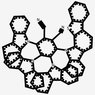 N#Cc1c(C#N)c(-n2c3ccccc3c3ccc4c5ccccc5sc4c32)c(-n2c3ccccc3c3ccccc32)c(-n2c3ccccc3c3ccccc32)c1-n1c2ccccc2c2ccccc21